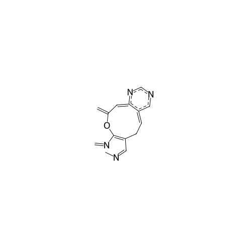 C=N/C1=C(\C=N/C)C/C=c2/cncn/c2=C/C(=C)O1